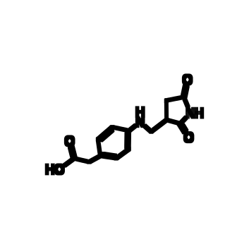 O=C(O)Cc1ccc(NCC2CC(=O)NC2=O)cc1